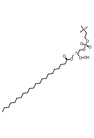 CCCCCCCCCCCCCCCCCCCCCC(=O)OC[C@H](COP(=O)([O-])OCC[N+](C)(C)C)OO